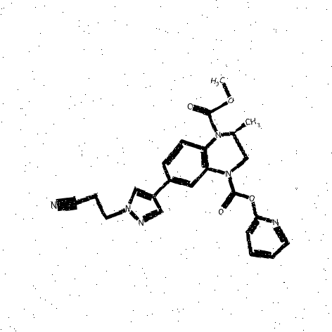 COC(=O)N1c2ccc(-c3cnn(CCC#N)c3)cc2N(C(=O)Oc2ccccn2)C[C@@H]1C